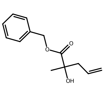 C=CCC(C)(O)C(=O)OCc1ccccc1